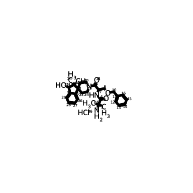 CC(C)(N)C(=O)NC(COCc1ccccc1)C(=O)N1CCC2(CC1)c1ccccc1C(O)C2(C)C.Cl